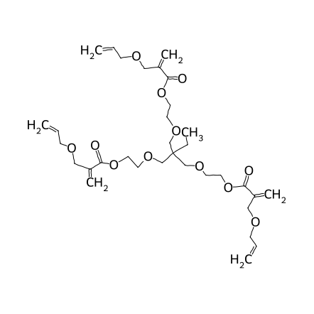 C=CCOCC(=C)C(=O)OCCOCC(CC)(COCCOC(=O)C(=C)COCC=C)COCCOC(=O)C(=C)COCC=C